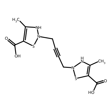 CC1=C(C(=O)O)SN(CC#CCN2NC(C)=C(C(=O)O)S2)N1